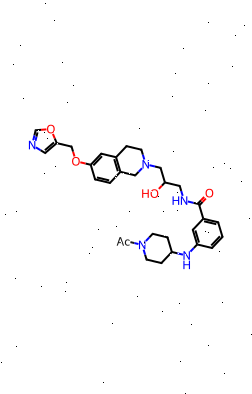 CC(=O)N1CCC(Nc2cccc(C(=O)NCC(O)CN3CCc4cc(OCc5cnco5)ccc4C3)c2)CC1